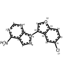 Nc1ncnc2c1cnn2-c1coc2ccc(Cl)cc12